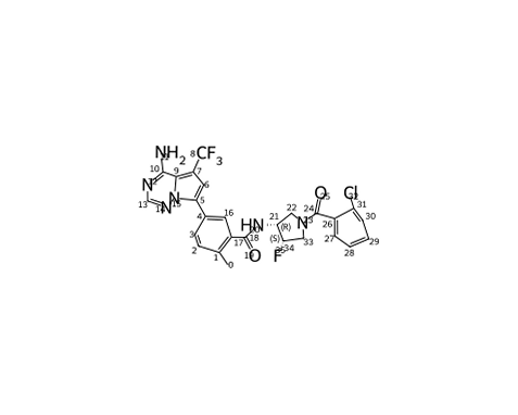 Cc1ccc(-c2cc(C(F)(F)F)c3c(N)ncnn23)cc1C(=O)N[C@@H]1CN(C(=O)c2ccccc2Cl)C[C@@H]1F